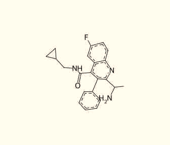 CC(N)c1nc2ccc(F)cc2c(C(=O)NCC2CC2)c1-c1ccccc1